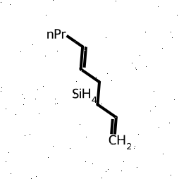 C=CCCC=CCCC.[SiH4]